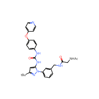 CC(=O)NCC(=O)NCc1cccc(-n2nc(C(C)(C)C)cc2NC(=O)Nc2ccc(Oc3ccncc3)cc2)c1